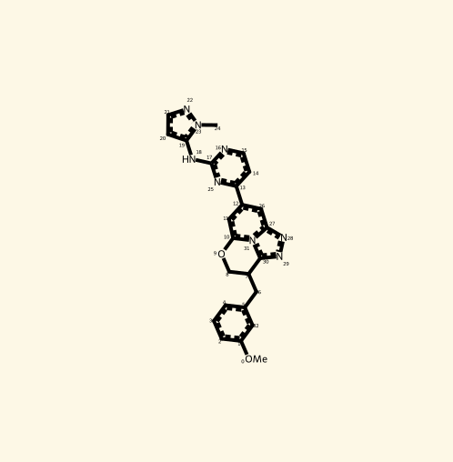 COc1cccc(CC2COc3cc(-c4ccnc(Nc5ccnn5C)n4)cc4nnc2n34)c1